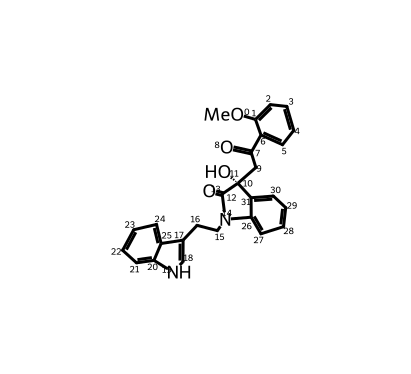 COc1ccccc1C(=O)C[C@]1(O)C(=O)N(CCc2c[nH]c3ccccc23)c2ccccc21